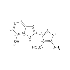 Nc1scc(-c2cc3cccc(O)c3o2)c1C(=O)O